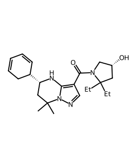 CCC1(CC)C[C@@H](O)CN1C(=O)c1cnn2c1N[C@@H](C1C=CC=CC1)CC2(C)C